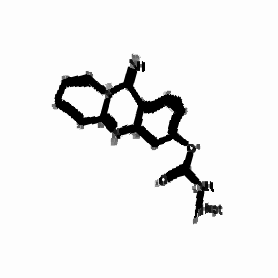 CCCCCCCNC(=O)Oc1ccc2c(=N)n3ccccc3nc2c1